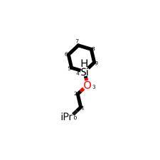 CC(C)CCO[SiH]1CCCCC1